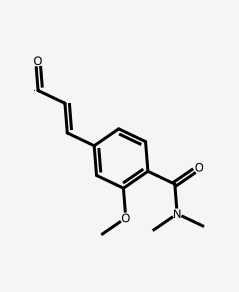 COc1cc(C=C[C]=O)ccc1C(=O)N(C)C